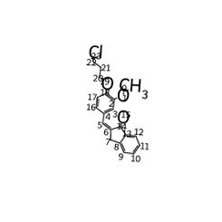 COc1cc(C=C2Cc3ccccc3C2=O)ccc1OCCCCl